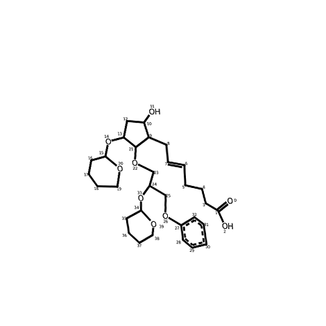 O=C(O)CCCC=CCC1C(O)CC(OC2CCCCO2)C1OCC(COc1ccccc1)OC1CCCCO1